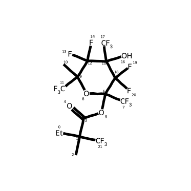 CCC(C)(C(=O)OC1(C(F)(F)F)OC(C)(C(F)(F)F)C(F)(F)C(O)(C(F)(F)F)C1(F)F)C(F)(F)F